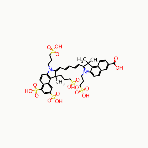 CC1(C)C(/C=C/C=C/C=C2/N(CCCS(=O)(=O)O)c3ccc4c(S(=O)(=O)O)cc(S(=O)(=O)O)cc4c3C2(C)CCCS(=O)(=O)O)=[N+](CCCS(=O)(=O)O)c2ccc3cc(C(=O)O)ccc3c21